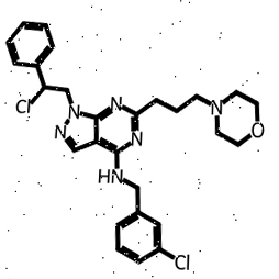 Clc1cccc(CNc2nc(CCCN3CCOCC3)nc3c2cnn3CC(Cl)c2ccccc2)c1